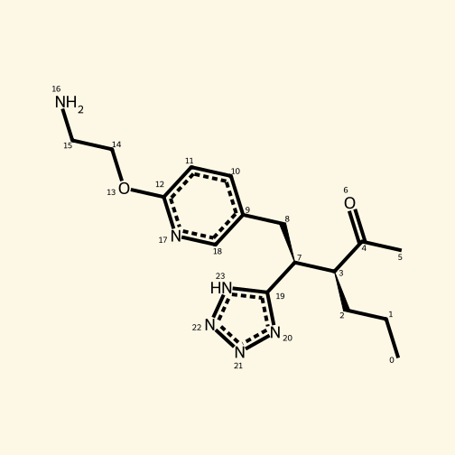 CCC[C@H](C(C)=O)[C@H](Cc1ccc(OCCN)nc1)c1nnn[nH]1